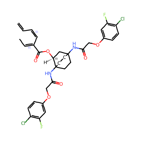 C=C/C=C\C(=C/C)C(=O)O[C@H]1CC2(NC(=O)COc3ccc(Cl)c(F)c3)CCC1(NC(=O)COc1ccc(Cl)c(F)c1)CC2